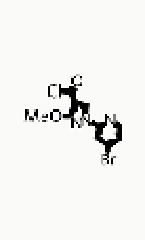 COc1nn(-c2cc(Br)ccn2)cc1C(=O)Cl